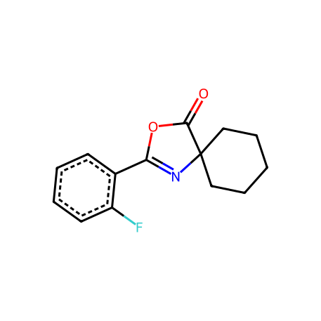 O=C1OC(c2ccccc2F)=NC12CCCCC2